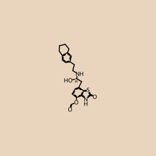 O=COc1ccc(C[C@@H](O)NCCc2ccc3c(c2)CCCC3)c2sc(=O)[nH]c12